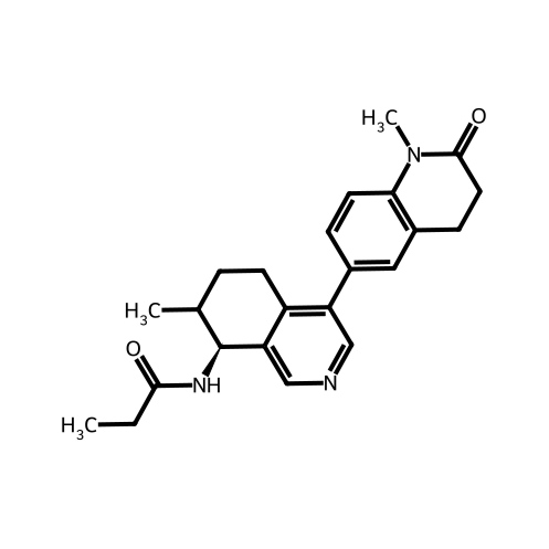 CCC(=O)N[C@@H]1c2cncc(-c3ccc4c(c3)CCC(=O)N4C)c2CCC1C